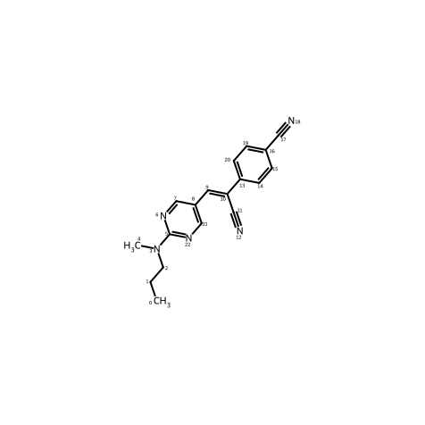 CCCN(C)c1ncc(/C=C(\C#N)c2ccc(C#N)cc2)cn1